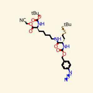 CC(C)(C)OC(=O)N[C@@H](CCCCCNC(=O)[C@H](CCSSC(C)(C)C)NC(=O)OCc1ccc(N=[N+]=[N-])cc1)C(=O)OCC#N